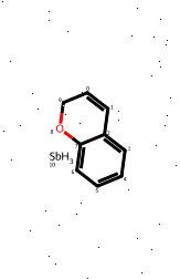 C1=Cc2ccccc2OC1.[SbH3]